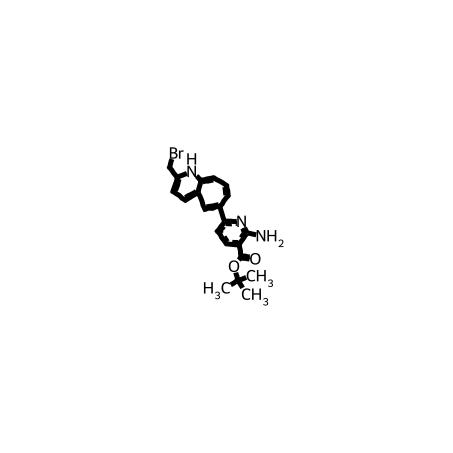 CC(C)(C)OC(=O)c1ccc(C2=CC3=CC=C(CBr)NC3=CC=C2)nc1N